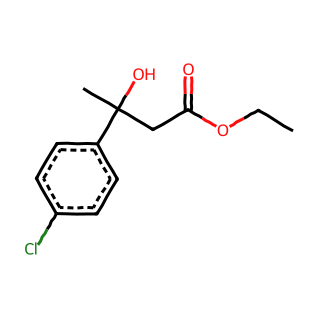 CCOC(=O)CC(C)(O)c1ccc(Cl)cc1